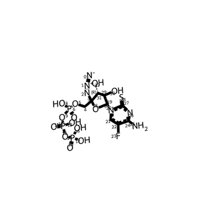 [N-]=[N+]=NC1(COP(=O)(O)OP(=O)(O)OP(=O)(O)O)O[C@@H](n2cc(F)c(N)nc2=S)C(O)[C@H]1O